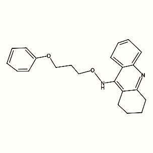 c1ccc(OCCCONc2c3c(nc4ccccc24)CCCC3)cc1